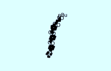 CCCCOC(=O)CCC(=O)Oc1ccc(C(=O)Oc2ccc(C(=O)Oc3ccc(N4CCN(C)CC4)cc3)cc2)cc1